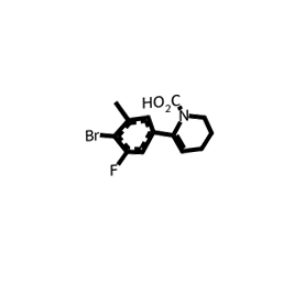 Cc1cc(C2=CCCCN2C(=O)O)cc(F)c1Br